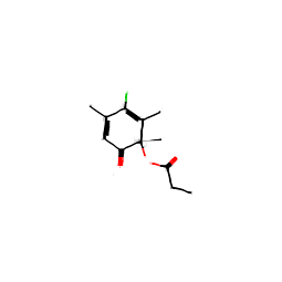 CCC(=O)O[C@]1(C)C(=O)C=C(C)C(Cl)=C1C